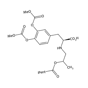 CCCC(C)C(=O)OC(C)CN[C@@H](Cc1ccc(OC(=O)OC)c(OC(=O)OC)c1)C(=O)O